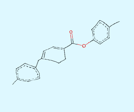 Cc1ccc(OC(=O)C2=CC=C(c3ccc(C)cc3)CC2)cc1